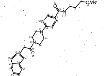 COCCCNC(=O)c1ccc(N2CCN(C(=O)Cc3ccc4ccccc4c3)CC2)nc1